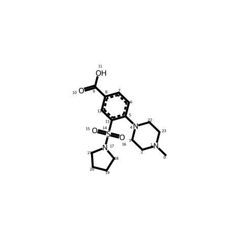 CN1CCN(c2ccc(C(=O)O)cc2S(=O)(=O)N2CCCC2)CC1